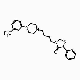 O=C1C(c2ccccc2)SCN1CCCCN1CCN(c2cccc(C(F)(F)F)c2)CC1